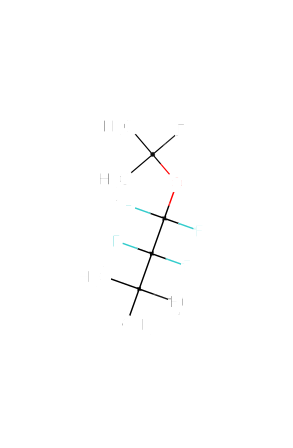 CCC(C)(C)OC(F)(F)C(F)(F)C(C)(C)CC